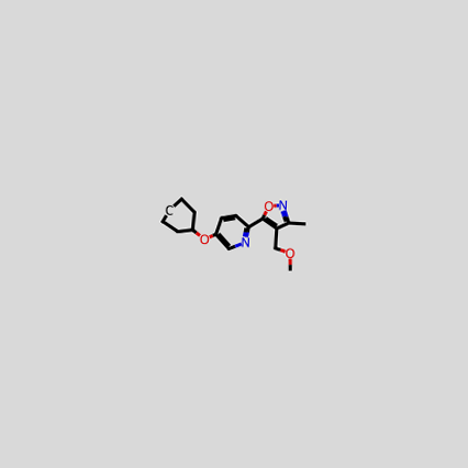 COCc1c(C)noc1-c1ccc(OC2CCCCC2)cn1